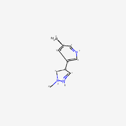 Bc1cncc(C2C=NN(C)C2)c1